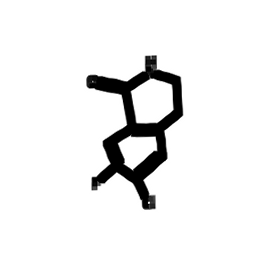 O=C1NCCc2cc(Cl)c(F)cc21